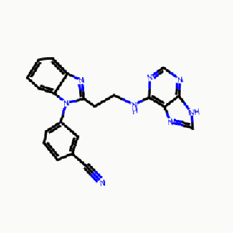 N#Cc1cccc(-n2c(CCNc3ncnc4[nH]cnc34)nc3ccccc32)c1